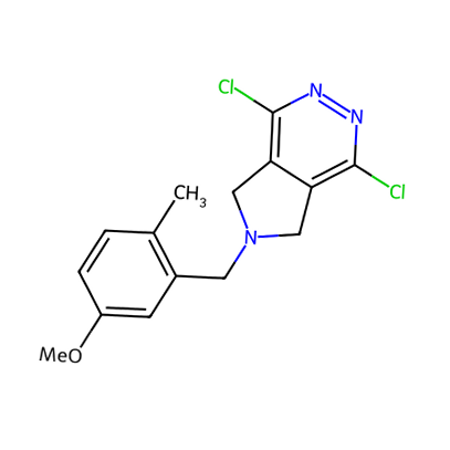 COc1ccc(C)c(CN2Cc3c(Cl)nnc(Cl)c3C2)c1